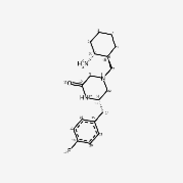 N[C@@H]1CCCC[C@H]1CN1CC(=O)N[C@@H](Cc2ccc(F)cc2)C1